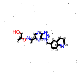 C=C(CO)O/N=C(\C)c1cnc2nnn(Cc3ccc4ncccc4c3)c2n1